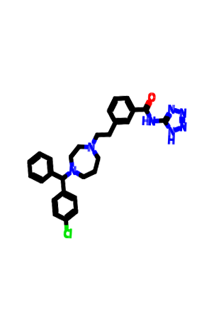 O=C(Nc1nnn[nH]1)c1cccc(CCN2CCCN(C(c3ccccc3)c3ccc(Cl)cc3)CC2)c1